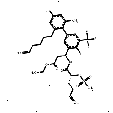 C=CCCCCc1cc(C)cc(C)c1-c1cc([C@H](CC(=O)OCC)NC(=O)[C@@H](CCC=C)OS(C)(=O)=O)c(F)c(C(F)(F)F)c1